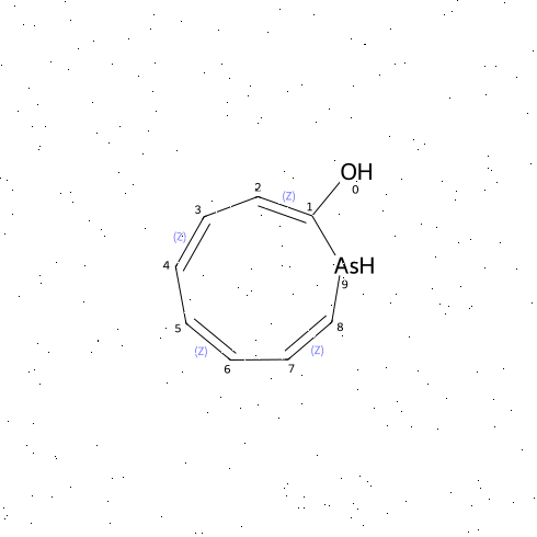 O/C1=C/C=C\C=C/C=C\[AsH]1